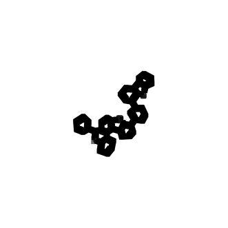 c1ccc(-c2nc3ccccc3c3c2ccc2oc4c(-c5cccc(-c6cccc7c6sc6ccccc67)c5)cccc4c23)cc1